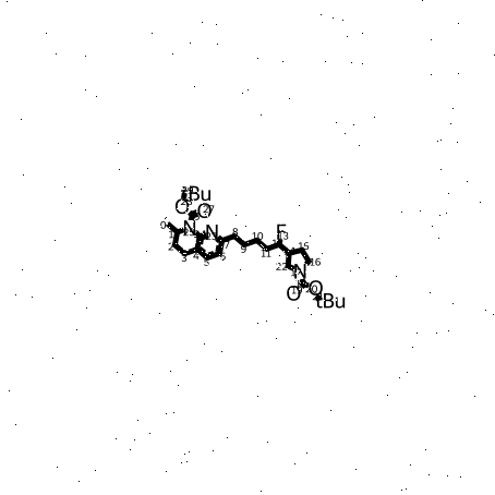 CC1CCc2ccc(CCCCC(F)C3CCN(C(=O)OC(C)(C)C)C3)nc2N1C(=O)OC(C)(C)C